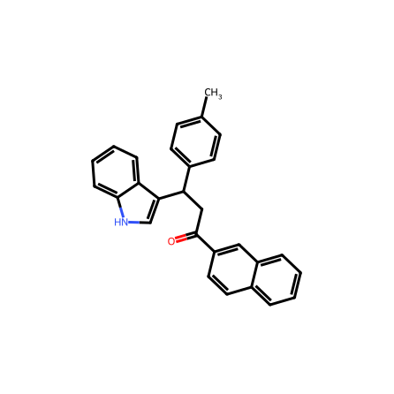 Cc1ccc(C(CC(=O)c2ccc3ccccc3c2)c2c[nH]c3ccccc23)cc1